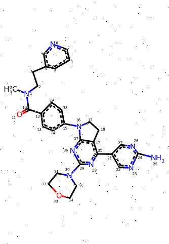 CN(CCc1cccnc1)C(=O)c1ccc(N2CCc3c(-c4cnc(N)nc4)nc(N4CCOCC4)nc32)cc1